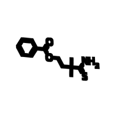 CC(C)(CCOC(=O)c1ccccc1)C(N)=S